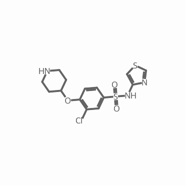 O=S(=O)(Nc1cscn1)c1ccc(OC2CCNCC2)c(Cl)c1